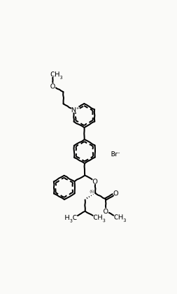 COCC[n+]1cccc(-c2ccc(C(O[C@@H](CC(C)C)C(=O)OC)c3ccccc3)cc2)c1.[Br-]